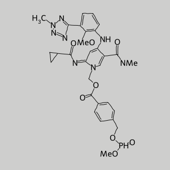 CNC(=O)c1cn(COC(=O)c2ccc(CO[PH](=O)OC)cc2)/c(=N/C(=O)C2CC2)cc1Nc1cccc(-c2nnn(C)n2)c1OC